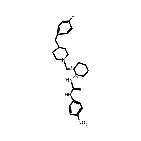 O=C(Nc1ccc([N+](=O)[O-])cc1)N[C@H]1CCCC[C@@H]1CN1CCC(Cc2ccc(F)cc2)CC1